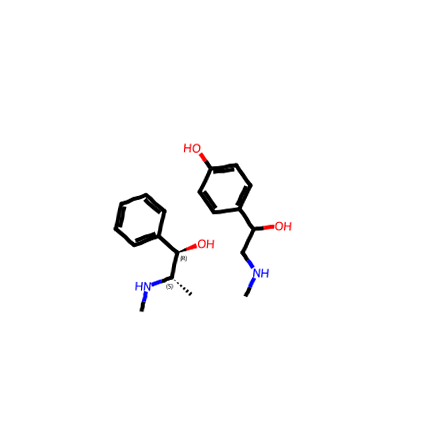 CNCC(O)c1ccc(O)cc1.CN[C@@H](C)[C@H](O)c1ccccc1